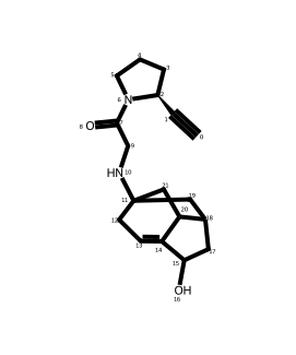 C#C[C@@H]1CCCN1C(=O)CNC12CC=C3C(O)CC(C1)C3C2